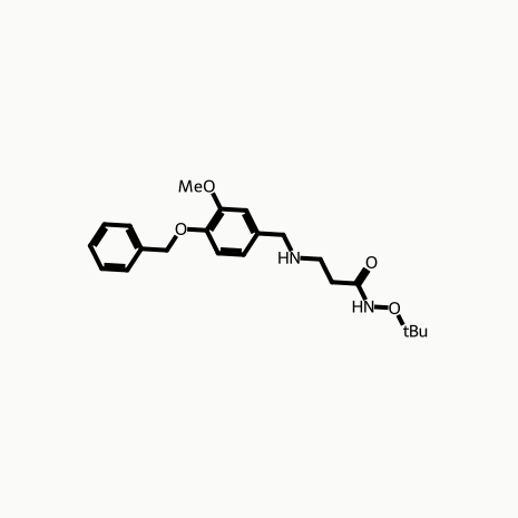 COc1cc(CNCCC(=O)NOC(C)(C)C)ccc1OCc1ccccc1